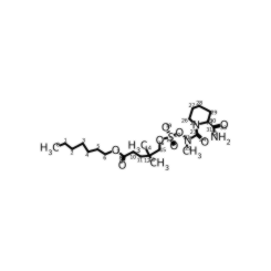 CCCCCCCOC(=O)CCC(C)(C)COS(=O)(=O)ON(C)C(=O)N1CCCC[C@H]1C(N)=O